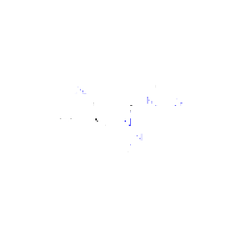 O=C(N1CCNC1)N1N=CC[C@H]1c1cncc(F)c1